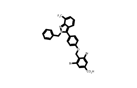 O=C(O)c1cc(Br)c(COc2ccc(-c3c4cccc(C(F)(F)F)c4nn3Cc3ccccc3)cc2)c(Br)c1